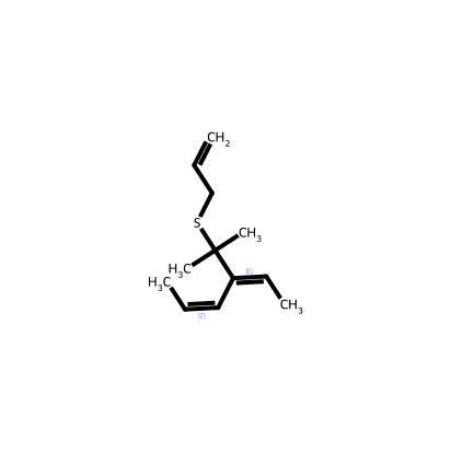 C=CCSC(C)(C)C(/C=C\C)=C/C